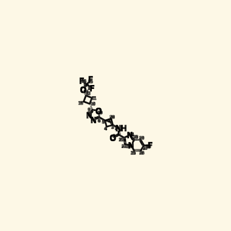 O=C(NC12CC(c3nnc([C@H]4C[C@@H](OC(F)(F)F)C4)o3)(C1)C2)c1cn2ccc(F)cc2n1